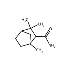 CC12CCC(C1)C(C)(C)C2C(N)=O